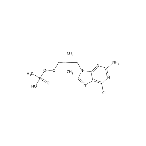 CC(C)(COOP(C)(=O)O)Cn1cnc2c(Cl)nc(N)nc21